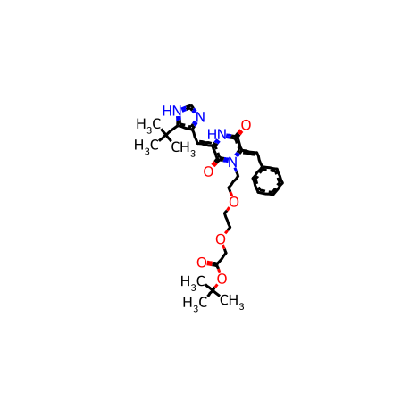 CC(C)(C)OC(=O)COCCOCCn1c(=O)/c(=C/c2nc[nH]c2C(C)(C)C)[nH]c(=O)/c1=C/c1ccccc1